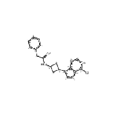 O=C(Cc1ccccc1)NC1CC(n2cnc3c(Cl)ncnc32)C1